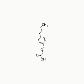 CCCCc1ccc(COCC(=O)O)cc1